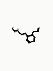 C=CCc1[c]cccc1CCCCC